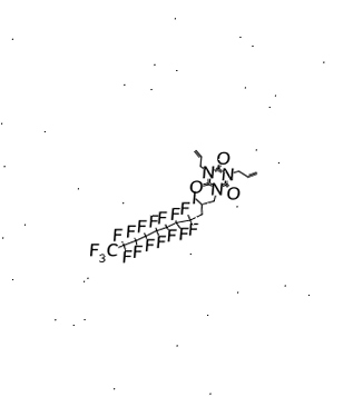 C=CCn1c(=O)n(CC=C)c(=O)n(CC(I)CC(F)(F)C(F)(F)C(F)(F)C(F)(F)C(F)(F)C(F)(F)C(F)(F)C(F)(F)F)c1=O